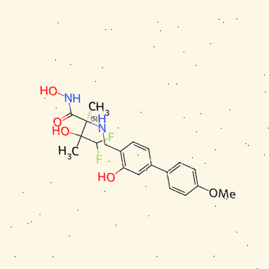 COc1ccc(-c2ccc(CN[C@](C)(C(=O)NO)C(C)(O)C(F)F)c(O)c2)cc1